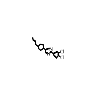 C/C=C/CC1CCC(c2cnc(-c3ccc(Cl)c(Cl)c3)nc2)CC1